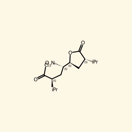 CC(C)[C@H](C[C@@H]([C@@H]1C[C@@H](C(C)C)C(=O)O1)[N+](=O)[O-])C(=O)Cl